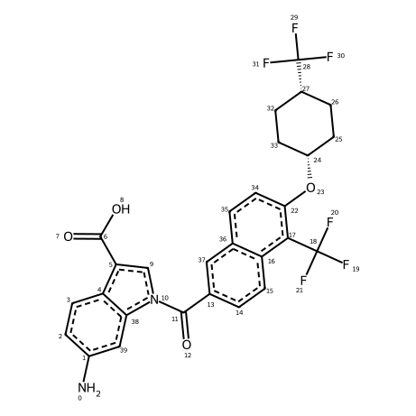 Nc1ccc2c(C(=O)O)cn(C(=O)c3ccc4c(C(F)(F)F)c(O[C@H]5CC[C@@H](C(F)(F)F)CC5)ccc4c3)c2c1